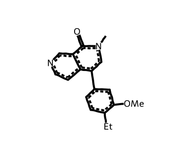 CCc1ccc(-c2cn(C)c(=O)c3cnccc23)cc1OC